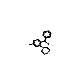 Cc1ccc(C(N)c2ccccc2)c(N2CCOCC2)c1